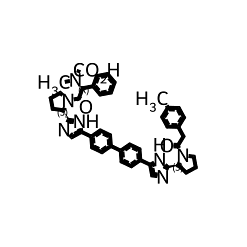 Cc1ccc(CC(=O)N2CCC[C@H]2c2ncc(-c3ccc(-c4ccc(-c5cnc([C@@H]6CCCN6C(=O)[C@@H](c6ccccc6)N(C)C(=O)O)[nH]5)cc4)cc3)[nH]2)cc1